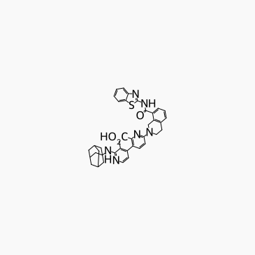 Cc1c(-c2ccc(N3CCc4cccc(C(=O)Nc5nc6ccccc6s5)c4C3)nc2C(=O)O)ccnc1NC12CC3CC(CC(C3)C1)C2